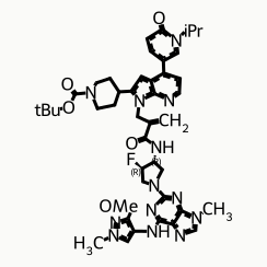 C=C(Cn1c(C2CCN(C(=O)OC(C)(C)C)CC2)cc2c(-c3ccc(=O)n(C(C)C)c3)ccnc21)C(=O)N[C@@H]1CN(c2nc(Nc3cn(C)nc3OC)c3ncn(C)c3n2)C[C@H]1F